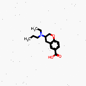 CCCN(CC)C1COc2ccc(C(=O)O)cc2C1